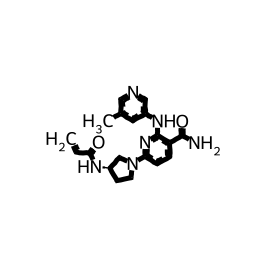 C=CC(=O)N[C@H]1CCN(c2ccc(C(N)=O)c(Nc3cncc(C)c3)n2)C1